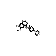 COc1cc2c(NC3(C)CCC(N4CCOCC4)CC3)ncnc2cc1F